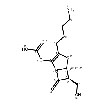 NCCCCC1=C(OC(=O)O)N2C(=O)[C@H](CO)[C@@H]2S1